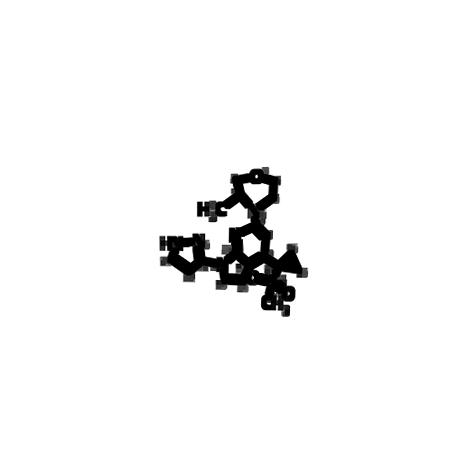 CC1COCCN1c1cc(C2(S(C)(=O)=O)CC2)c2ccn(-c3cc[nH]n3)c2n1